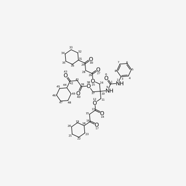 O=C(Nc1ccccc1)NC(COC(=O)CC(=O)C1CCCCC1)(COC(=O)CC(=O)C1CCCCC1)COC(=O)CC(=O)C1CCCCC1